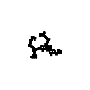 CCC(CC(C)C)C(=O)O.CCOC(=O)CCC(C)C